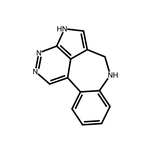 c1ccc2c(c1)NCc1c[nH]c3nncc-2c13